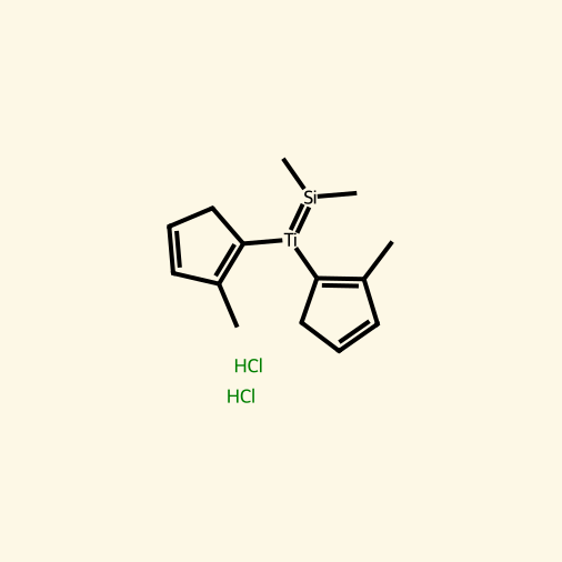 CC1=[C]([Ti]([C]2=C(C)C=CC2)=[Si](C)C)CC=C1.Cl.Cl